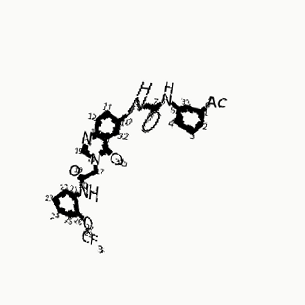 CC(=O)c1cccc(NC(=O)Nc2ccc3ncn(CC(=O)Nc4ccccc4OC(F)(F)F)c(=O)c3c2)c1